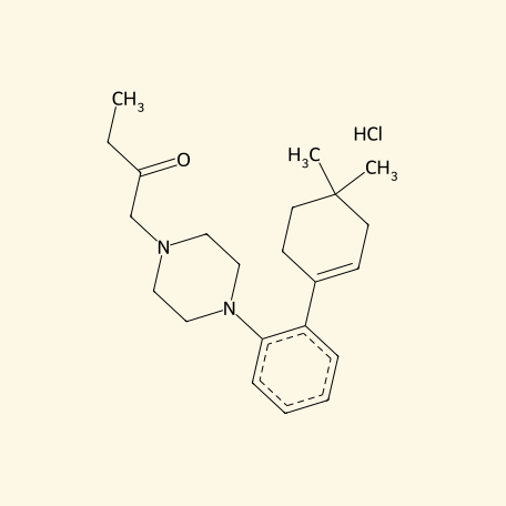 CCC(=O)CN1CCN(c2ccccc2C2=CCC(C)(C)CC2)CC1.Cl